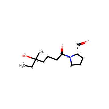 CCC(C)(O)CCCC(=O)N1CCC[C@H]1C=O